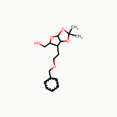 CC1(C)OC2OC(CO)C(CCOCc3ccccc3)C2O1